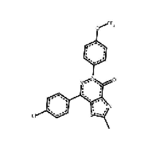 Cc1nc2c(=O)n(-c3ccc(OC(F)(F)F)cc3)nc(-c3ccc(Cl)cc3)c2s1